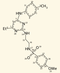 CCc1cc(Nc2ccc(C)cc2)nc(NCCNS(=O)(=O)c2ccc(OC)cc2)n1